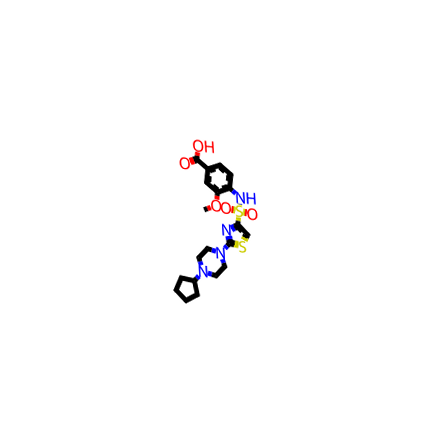 COc1cc(C(=O)O)ccc1NS(=O)(=O)c1csc(N2CCN(C3CCCC3)CC2)n1